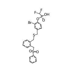 O=P(O)(Oc1ccc(CSCc2ccccc2CS(=O)(=O)c2ccccc2)cc1Br)C(F)F